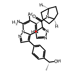 CC(=O)c1c([C@@H]2C[C@H]3CC[C@@H](C2)N3C(=O)c2nnc[nH]2)nc2c(-c3ccc([C@@H](C)O)cc3)cnn2c1N